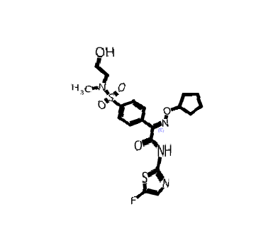 CN(CCO)S(=O)(=O)c1ccc(/C(=N\OC2CCCC2)C(=O)Nc2ncc(F)s2)cc1